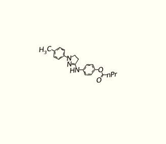 CCCC(=O)Oc1ccc(NC2=NN(c3ccc(C)cc3)CC2)cc1